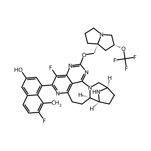 Cc1c(F)ccc2cc(O)cc(-c3nc4c5c(nc(OC[C@]67CCCN6C[C@H](OC(F)(F)F)C7)nc5c3F)N3C[C@H]5CC[C@H](N5)[C@H]3CC4)c12